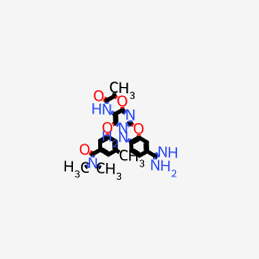 Cc1cc(Oc2nc(Oc3cc(C(=N)N)ccc3N)nc3c2NC(=O)C(C)O3)cc(C(=O)N(C)C)c1